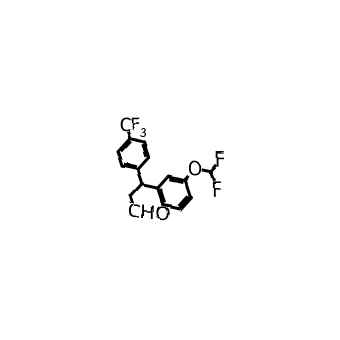 O=CCC(c1ccc(C(F)(F)F)cc1)c1cccc(OC(F)F)c1